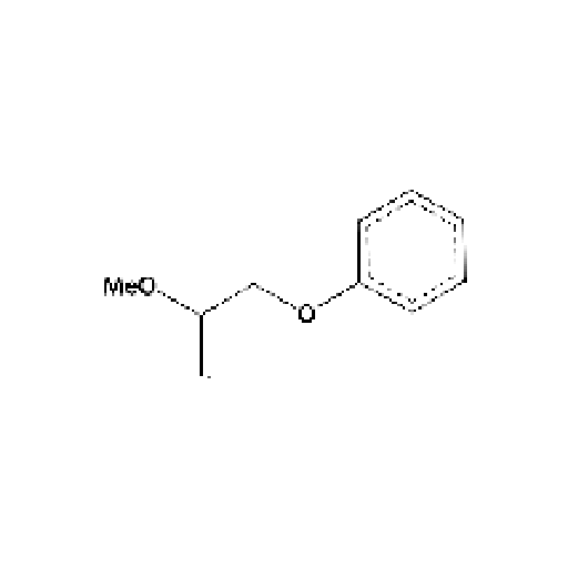 [CH2]C(COc1ccccc1)OC